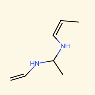 C=CNC(C)N/C=C\C